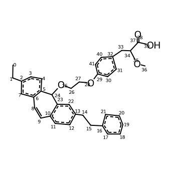 CCc1ccc2c(c1)C=Cc1ccc(CCc3ccccc3)cc1C2OCCOc1ccc(CC(OC)C(=O)O)cc1